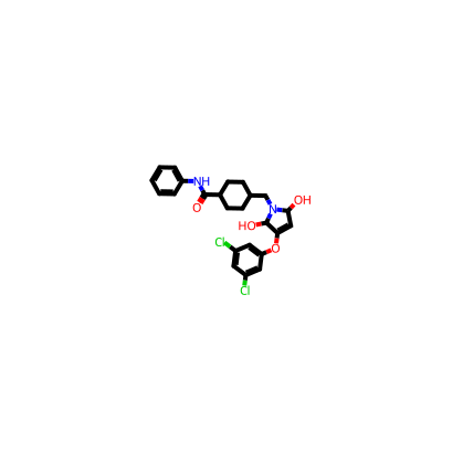 O=C(Nc1ccccc1)C1CCC(CN2C(O)C=C(Oc3cc(Cl)cc(Cl)c3)C2O)CC1